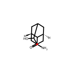 NC(=O)C1[C@H]2CC3C[C@H]1CC(C2)C3O